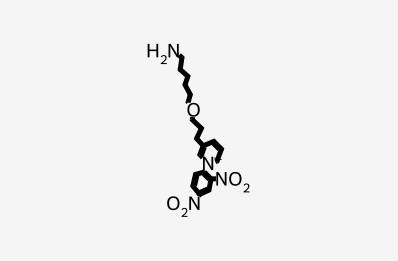 NCCCCCCOCCCc1ccc[n+](-c2ccc([N+](=O)[O-])cc2[N+](=O)[O-])c1